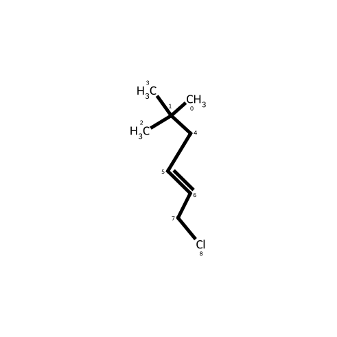 CC(C)(C)CC=CCCl